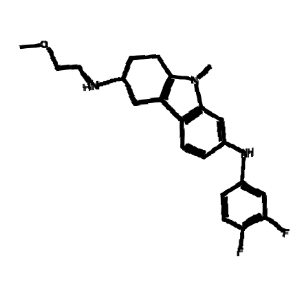 COCCNC1CCc2c(c3ccc(Nc4ccc(F)c(F)c4)cc3n2C)C1